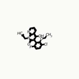 C#CCn1c(=O)c(-c2c(F)ccc(Cl)c2OCC)c(O)c2cccnc21